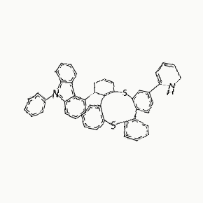 C1=CCNC(c2ccc3c(c2)SC2=C(c4ccccc4Sc4ccccc4-3)C(c3cccc4c3c3ccccc3n4-c3ccccc3)CC=C2)=C1